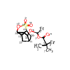 CCC(OC(=O)C(C)(C)CC)OC1C2CC3C1OS(=O)(=O)C3C2